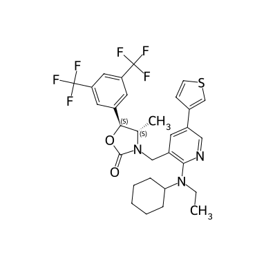 CCN(c1ncc(-c2ccsc2)cc1CN1C(=O)O[C@@H](c2cc(C(F)(F)F)cc(C(F)(F)F)c2)[C@@H]1C)C1CCCCC1